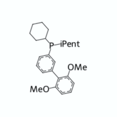 CCCC(C)P(c1cccc(-c2c(OC)cccc2OC)c1)C1CCCCC1